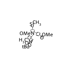 COC(=O)c1ccc([C@@H]2CC(c3csc(C)c3)CCN2Cc2c(OC)cc(C)c3c2ccn3C(=O)OC(C)(C)C)cc1